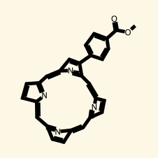 COC(=O)c1ccc(C2=CC3=CC4=NC(=CC5=NC(=CC6=NC(=CC2=N3)C=C6)C=C5)C=C4)cc1